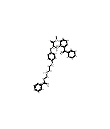 COC(=O)[C@H](Cc1ccc(OCCNCCC(=O)c2ccccc2)cc1)Nc1ccccc1C(=O)c1ccccc1